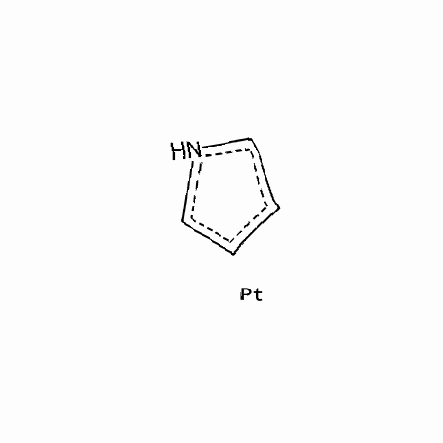 [Pt].c1cc[nH]c1